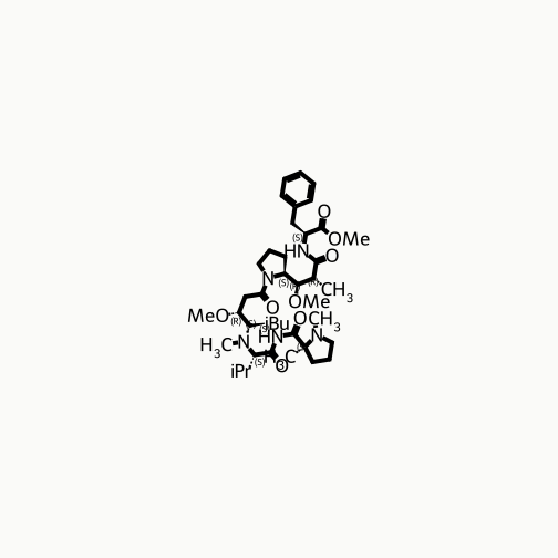 CC[C@H](C)[C@@H]([C@@H](CC(=O)N1CCC[C@H]1[C@H](OC)[C@@H](C)C(=O)N[C@@H](Cc1ccccc1)C(=O)OC)OC)N(C)[C@H](C(=O)NC(=O)[C@]1(C)CCCN1C)C(C)C